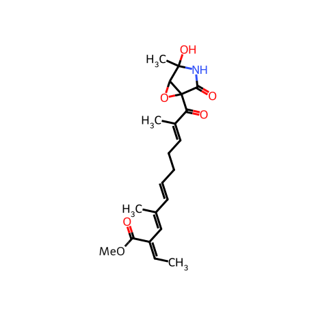 C\C=C(/C=C(C)/C=C/CC/C=C(\C)C(=O)C12OC1C(C)(O)NC2=O)C(=O)OC